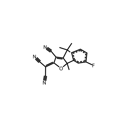 CC(C)(C)C1=C(C#N)C(=C(C#N)C#N)OC1(C)c1cccc(F)c1